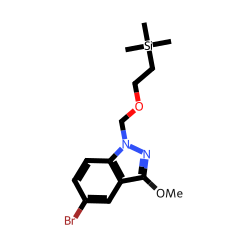 COc1nn(COCC[Si](C)(C)C)c2ccc(Br)cc12